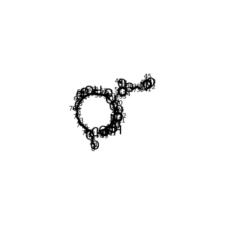 COCCOC1C[C@@H]2CC[C@@H](C)[C@@](O)(O2)C(=O)C(=O)N2CCCCC2C(=O)O[C@H]([C@H](C)C[C@@H]2CC[C@@H](OCCCN3CCO[C@@H](C)C3)[C@H](OC)C2)CC(=O)[C@H](C)/C=C(\C)[C@@H](O)[C@@H](OC)C(=O)[C@H](C)C[C@H](C)/C=C/C=C/C=C/1C